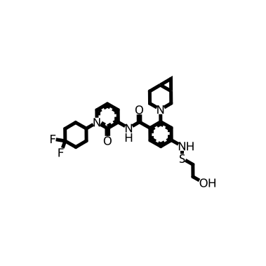 O=C(Nc1cccn(C2CCC(F)(F)CC2)c1=O)c1ccc(NSCCO)cc1N1CCC2CC2C1